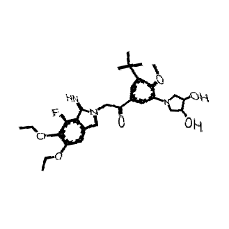 CCOc1cc2c(c(F)c1OCC)C(=N)N(CC(=O)c1cc(N3CC(O)C(O)C3)c(OC)c(C(C)(C)C)c1)C2